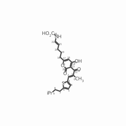 CC(=Cc1ccc(CCC(C)C)s1)C(=O)c1c(O)cc(CCCC=CNC(=O)O)oc1=O